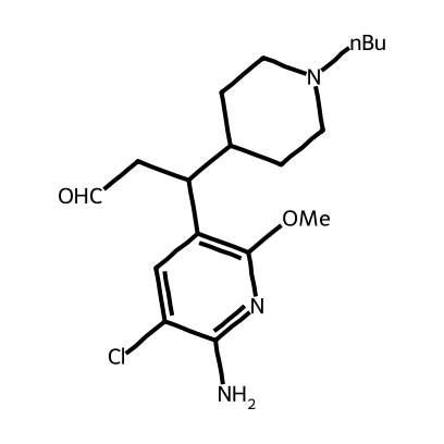 CCCCN1CCC(C(CC=O)c2cc(Cl)c(N)nc2OC)CC1